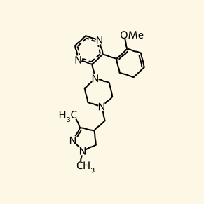 COC1=C(c2nccnc2N2CCN(CC3CN(C)N=C3C)CC2)CCC=C1